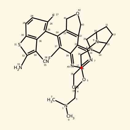 CN(C)CCOc1nc(N2C3CCC2CN(CCCO)C3)c2c3c(c(-c4c(F)ccc5sc(N)c(C#N)c45)c(F)c2n1)COC3